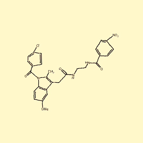 COc1ccc2c(c1)c(CC(=O)NCCNC(=O)c1ccc([N+](=O)[O-])cc1)c(C)n2C(=O)c1ccc(Cl)cc1